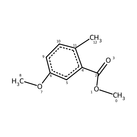 COC(=O)c1cc(OC)ccc1C